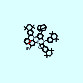 CC(C)c1ccc2c(c1)B1c3oc4cc5c(cc4c3N(c3ccc4c(c3)C(C)(C)CCC4(C)C)c3cc(C46CC7CC(CC(C7)C4)C6)cc(c31)N2c1cc2c(cc1-c1ccccc1)C(C)(C)CCC2(C)C)C(C)(C)CCC5(C)C